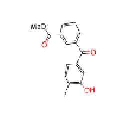 COC(=O)c1cccc(C(=O)c2ccc(C)c(O)c2)c1